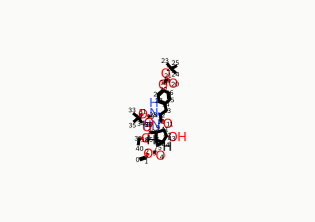 C=COC(=O)[C@H]1[C@H]2[C@@H]1[C@@](NC(=O)C(Cc1ccc(OC(=O)OC(C)(C)C)cc1)NC(=O)OC(C)(C)C)(C(=O)OCC)C[C@@H]2O